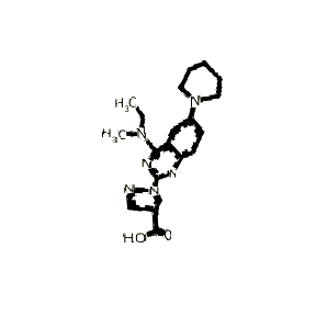 CCN(C)c1nc(-n2cc(C(=O)O)cn2)nc2ccc(N3CCCCC3)cc12